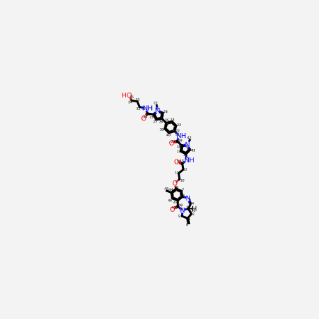 C=C1C[C@H]2C=Nc3cc(OCCCC(=O)Nc4cc(C(=O)Nc5ccc(-c6cc(C(=O)NCCCO)n(C)c6)cc5)n(C)c4)c(C)cc3C(=O)N2C1